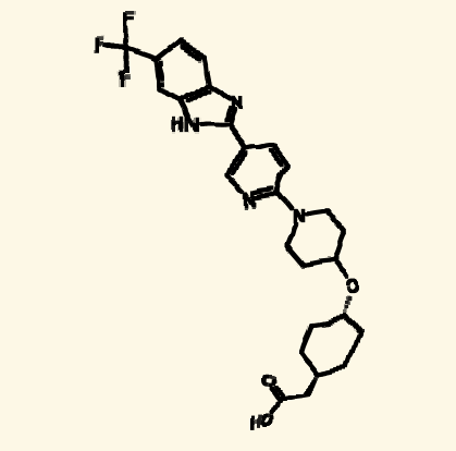 O=C(O)C[C@H]1CC[C@H](OC2CCN(c3ccc(-c4nc5ccc(C(F)(F)F)cc5[nH]4)cn3)CC2)CC1